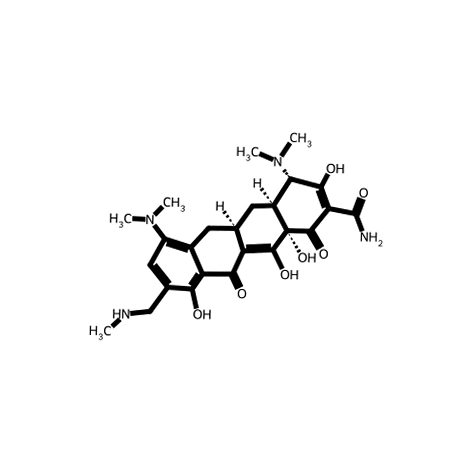 CNCc1cc(N(C)C)c2c(c1O)C(=O)C1=C(O)[C@]3(O)C(=O)C(C(N)=O)=C(O)[C@@H](N(C)C)[C@@H]3C[C@@H]1C2